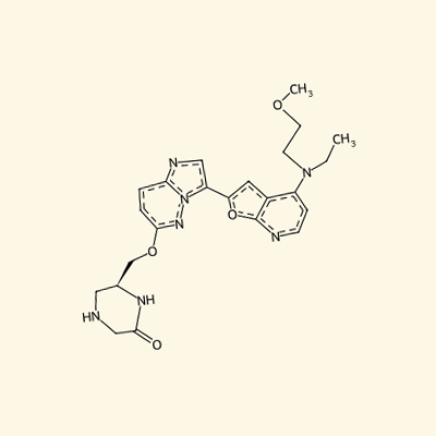 CCN(CCOC)c1ccnc2oc(-c3cnc4ccc(OC[C@@H]5CNCC(=O)N5)nn34)cc12